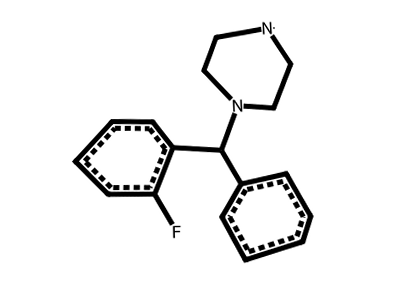 Fc1ccccc1C(c1ccccc1)N1CC[N]CC1